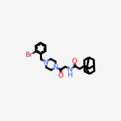 O=C(CC12CC3CC(CC(C3)C1)C2)NCC(=O)N1CCN(Cc2ccccc2Br)CC1